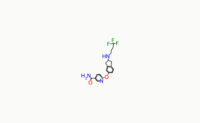 NC(=O)c1ccc(Oc2ccc3c(c2)CC(NCCCC(F)(F)F)C3)nc1